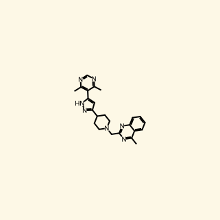 Cc1ncnc(C)c1-c1cc(C2CCN(Cc3nc(C)c4ccccc4n3)CC2)n[nH]1